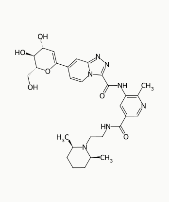 Cc1ncc(C(=O)NCCN2[C@H](C)CCC[C@@H]2C)cc1NC(=O)c1nnc2cc(C3=C[C@@H](O)[C@H](O)[C@@H](CO)O3)ccn12